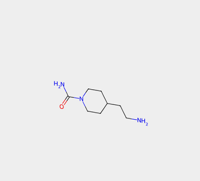 NCCC1CCN(C(N)=O)CC1